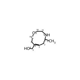 CC1C/C=C(/CO)CCOCCN1